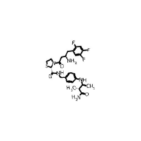 CC(Nc1ccc(CNC(=O)[C@@H]2SCCN2C(=O)C[C@H](N)Cc2cc(F)c(F)cc2F)cc1)[C@@H](C)C(N)=O